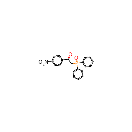 O=C(CP(=O)(c1ccccc1)c1ccccc1)c1ccc([N+](=O)[O-])cc1